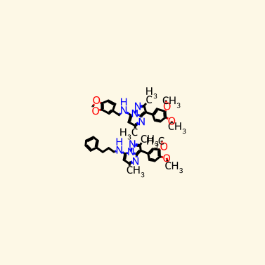 COc1ccc(-c2c(C)nn3c(NCCCc4ccccc4)cc(C)nc23)cc1OC.COc1ccc(-c2c(C)nn3c(NCc4ccc5c(c4)OCO5)cc(C)nc23)cc1OC